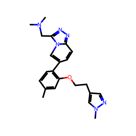 Cc1ccc(-c2ccc3nnc(CN(C)C)n3c2)c(OCCc2cnn(C)c2)c1